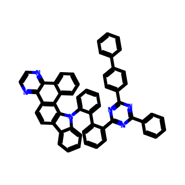 c1ccc(-c2ccc(-c3nc(-c4ccccc4)nc(-c4ccccc4-c4ccccc4-n4c5ccccc5c5ccc6c7nccnc7c7ccccc7c6c54)n3)cc2)cc1